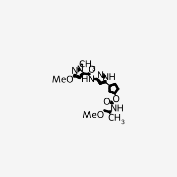 COCC(C)NC(=O)O[C@@H]1CC[C@H](c2cc(NC(=O)c3cc(OC)nn3C)n[nH]2)C1